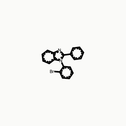 Brc1ccccc1-n1c(-c2ccccc2)nc2ccccc21